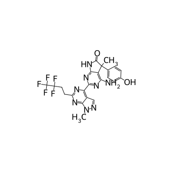 Cn1ncc2c(-c3nc(N)c4c(n3)NC(=O)C4(C)c3ccc(O)cc3)nc(CCC(F)(F)C(F)(F)F)nc21